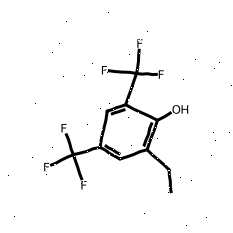 CCc1cc(C(F)(F)F)cc(C(F)(F)F)c1O